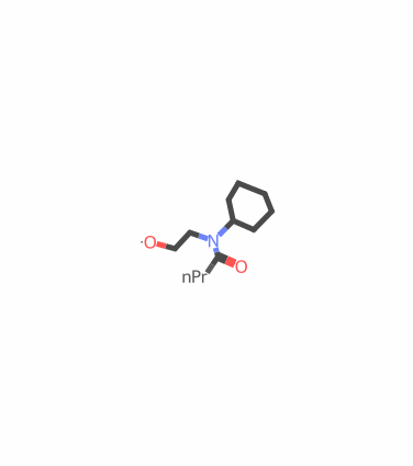 CCCC(=O)N(CC[O])C1CCCCC1